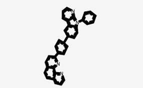 c1ccc(-n2c3ccc(-c4ccc(-c5ccc6ccc7cccnc7c6n5)cc4)cc3c3cccnc32)cc1